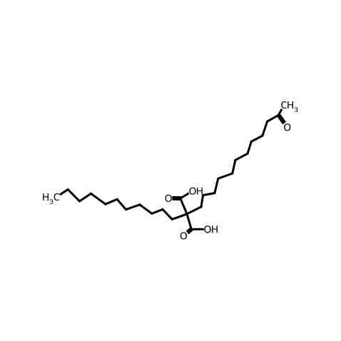 CCCCCCCCCCCC(CCCCCCCCCCC(C)=O)(C(=O)O)C(=O)O